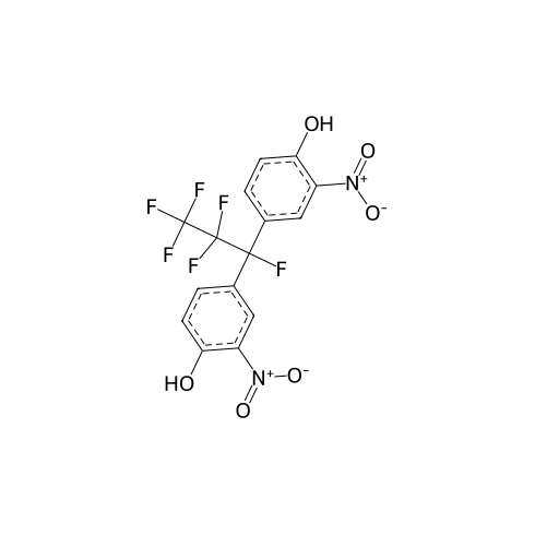 O=[N+]([O-])c1cc(C(F)(c2ccc(O)c([N+](=O)[O-])c2)C(F)(F)C(F)(F)F)ccc1O